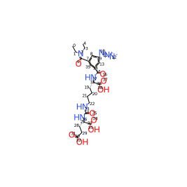 CCN(CC)C(=O)c1cc(N=[N+]=[N-])cc(C(=O)N[C@@H](CCCCNC(=O)N[C@@H](CCC(=O)O)C(=O)O)C(=O)O)c1